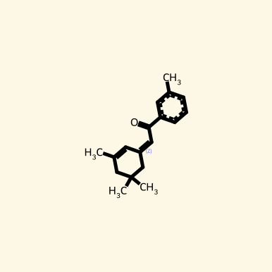 CC1=C/C(=C\C(=O)c2cccc(C)c2)CC(C)(C)C1